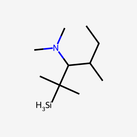 CCC(C)C(N(C)C)C(C)(C)[SiH3]